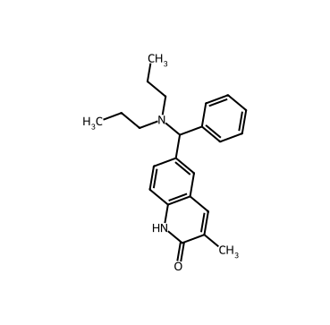 CCCN(CCC)C(c1ccccc1)c1ccc2[nH]c(=O)c(C)cc2c1